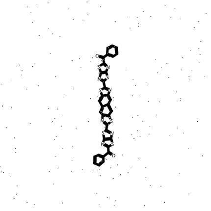 O=C(c1ccccc1)c1nc2sc(-c3nc4cc5cc6sc(-c7nc8sc(C(=O)c9ccccc9)nc8s7)nc6cc5cc4s3)nc2s1